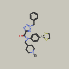 CCN1CCC(CN(C(=O)c2nnn(Cc3ccccc3)n2)c2ccc([As]3SCCS3)cc2)CC1